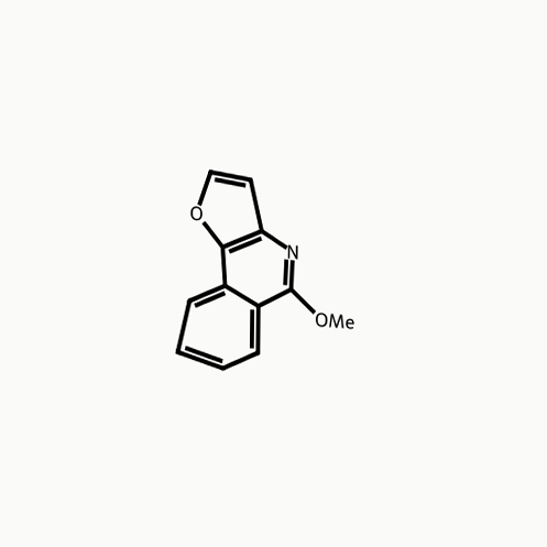 COc1nc2ccoc2c2ccccc12